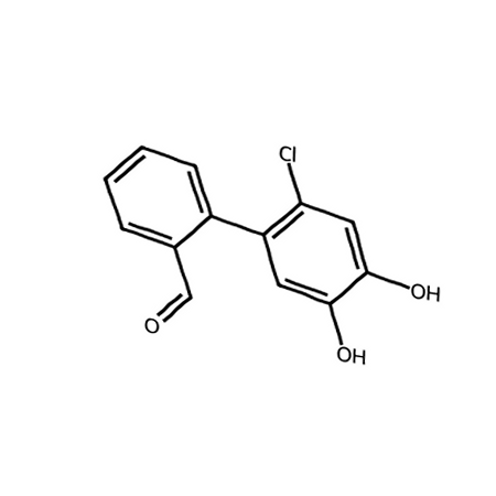 O=Cc1ccccc1-c1cc(O)c(O)cc1Cl